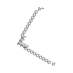 [Al+3].[Al+3].[Al+3].[Al+3].[Al+3].[Cl-].[Cl-].[Cl-].[Cl-].[Cl-].[Cl-].[Cl-].[Cl-].[Cl-].[Cl-].[Cl-].[Cl-].[Cl-].[Cl-].[Cl-].[Cl-].[Cl-].[Cl-].[Cl-].[Zr+4]